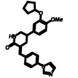 COc1ccc(C2CNC(=O)C(=Cc3ccc(-n4ccnc4)cc3)C2)cc1OC1CCCC1